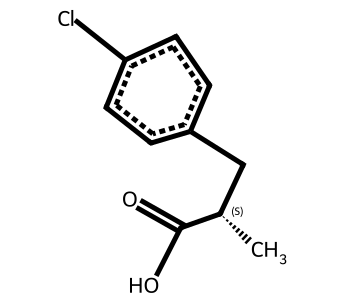 C[C@@H](Cc1ccc(Cl)cc1)C(=O)O